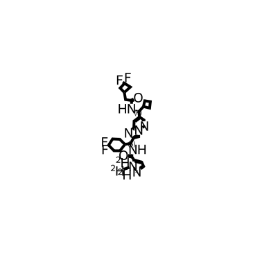 [2H]C([2H])([2H])n1nccc1C(=O)N[C@H](c1cn2ncc([C@H](NC(=O)CC3CC(F)(F)C3)C3CCC3)cc2n1)C1CCC(F)(F)CC1